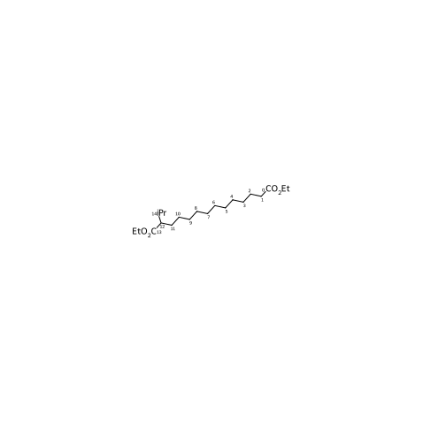 CCOC(=O)CCCCCCCCCCCC(C(=O)OCC)C(C)C